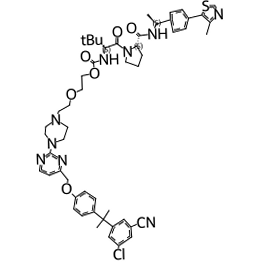 Cc1ncsc1-c1ccc([C@H](C)NC(=O)[C@@H]2CCCN2C(=O)[C@@H](NC(=O)OCCOCCN2CCN(c3nccc(COc4ccc(C(C)(C)c5cc(Cl)cc(C#N)c5)cc4)n3)CC2)C(C)(C)C)cc1